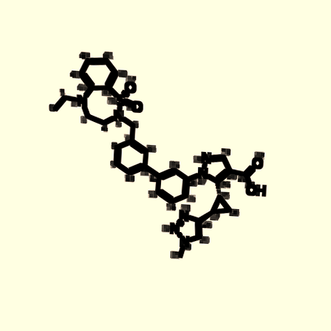 CCN1CCN(Cc2cccc(-c3cccc(-n4ncc(C(=O)O)c4[C@@H]4C[C@H]4c4cn(C)nn4)c3)c2)S(=O)(=O)c2ccccc21